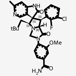 COc1cc(C(N)=O)ccc1N1CN2[C@@H](CC(C)(C)C)[C@]3(C(=O)Nc4cc(C)ncc43)[C@@H](c3cccc(Cl)c3F)[C@@H]2C1=O